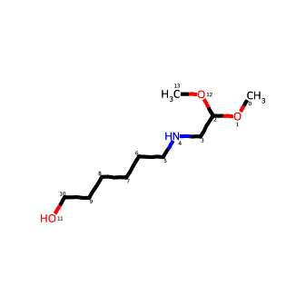 COC(CNCCCCCCO)OC